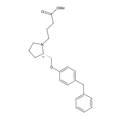 COC(=O)CCCN1CCC[C@H]1COc1ccc(Cc2ccccc2)cc1